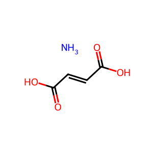 N.O=C(O)/C=C/C(=O)O